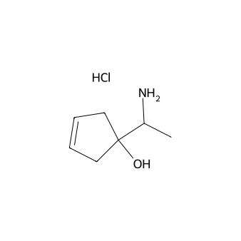 CC(N)C1(O)CC=CC1.Cl